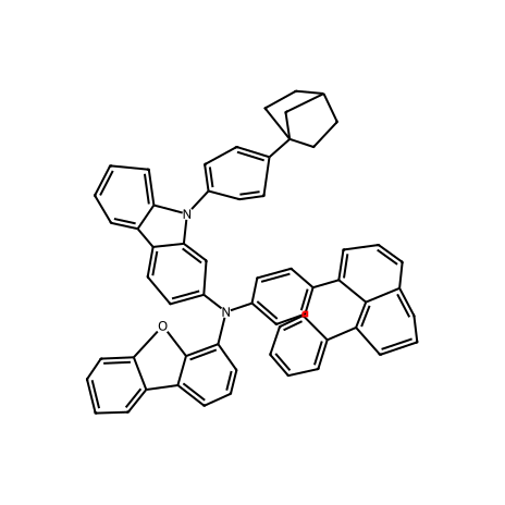 c1ccc(-c2cccc3cccc(-c4ccc(N(c5ccc6c7ccccc7n(-c7ccc(C89CCC(CC8)C9)cc7)c6c5)c5cccc6c5oc5ccccc56)cc4)c23)cc1